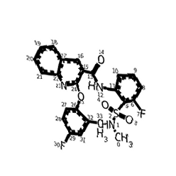 CNS(=O)(=O)c1c(F)cccc1NC(=O)c1cc2ccccc2nc1Oc1ccc(F)cc1C